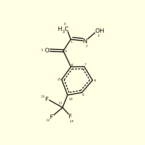 CC(=NO)C(=O)c1cccc(C(F)(F)F)c1